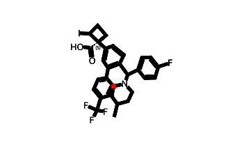 CC1CCN(C(c2ccc(F)cc2)c2ccc([C@]3(C(=O)O)CCC3I)cc2-c2ccc(C(F)(F)F)cc2)CC1